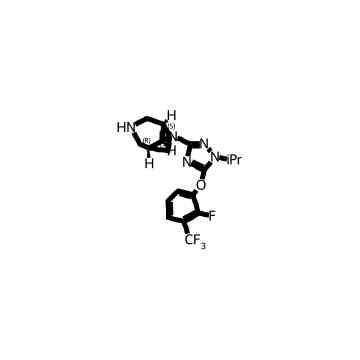 CC(C)n1nc(N[C@@H]2[C@@H]3CC[C@H]2CNC3)nc1Oc1cccc(C(F)(F)F)c1F